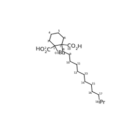 CCC(C)C1(C(=O)O)CCCCC1(CCCCCCCCCCC(C)C)C(=O)O